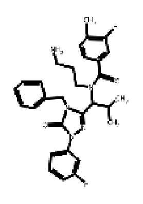 Cc1ccc(C(=O)N(CCCN)C(c2nn(-c3cccc(F)c3)c(=O)n2Cc2ccccc2)C(C)C)cc1F